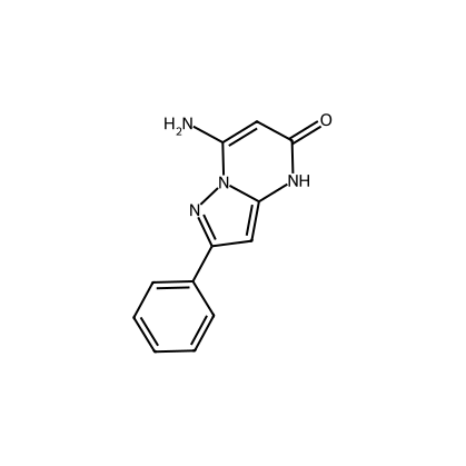 Nc1cc(=O)[nH]c2cc(-c3ccccc3)nn12